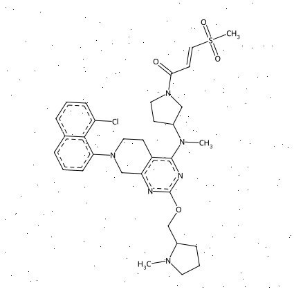 CN1CCCC1COc1nc2c(c(N(C)C3CCN(C(=O)C=CS(C)(=O)=O)C3)n1)CCN(c1cccc3cccc(Cl)c13)C2